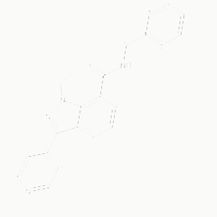 Cn1nc(-c2ccncc2)c2cccc(C(=O)NCc3ccccc3)c21